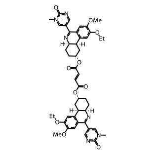 CCOc1cc2c(cc1OC)C(c1cnc(=O)n(C)c1)=N[C@@H]1CC[C@@H](OC(=O)/C=C/C(=O)O[C@@H]3CC[C@H]4N=C(c5cnc(=O)n(C)c5)c5cc(OC)c(OCC)cc5[C@H]4C3)C[C@H]21